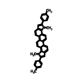 Cc1ccc(-c2cc3ccc4c5ccc6c(ccc7cc(-c8ccc(C)cc8)n(C)c76)c5ccc4c3n2C)cc1